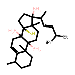 BC1(C(C)/C=C/C(CC)C(C)C)CCC2(S)C3(B)CC=C4C(C)CCCC4(C)C3(B)CCC12C